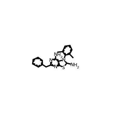 Cc1cccc(C)c1N1c2c(N)nc(Cc3ccccc3)nc2SC1N